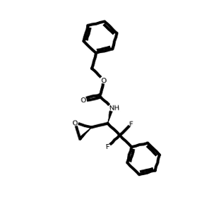 O=C(N[C@H]([C@H]1CO1)C(F)(F)c1ccccc1)OCc1ccccc1